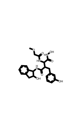 COCC(=O)NC(C(=O)NO)C(Cc1cccc(O)c1)C(=O)NC1c2ccccc2CC1O